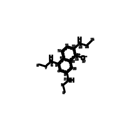 CCNc1cc(NCC)c2ccc(NCC)[n+]([O-])c2c1